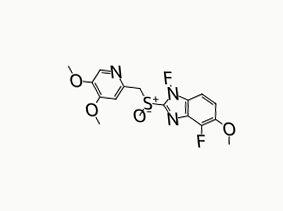 COc1cnc(C[S+]([O-])c2nc3c(F)c(OC)ccc3n2F)cc1OC